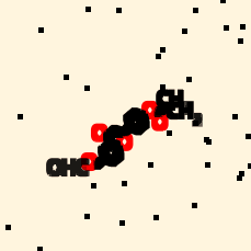 C=C(C)C(=O)Oc1ccc(-c2cc(=O)c3cc(COC=O)ccc3o2)cc1